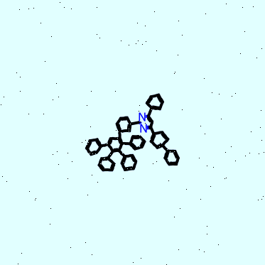 c1ccc(-c2ccc(-c3cc(-c4ccccc4)nc(-c4cccc(-c5cc(-c6ccccc6)c(-c6ccccc6)c(-c6ccccc6)c5-c5ccccc5)c4)n3)cc2)cc1